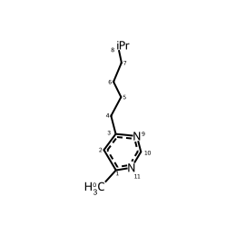 Cc1cc(CCCCC(C)C)ncn1